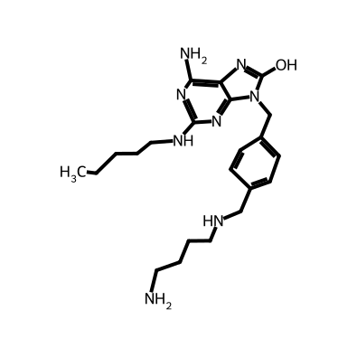 CCCCCNc1nc(N)c2nc(O)n(Cc3ccc(CNCCCCN)cc3)c2n1